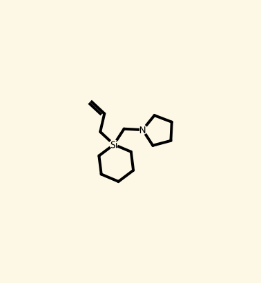 C=CC[Si]1(CN2CCCC2)CCCCC1